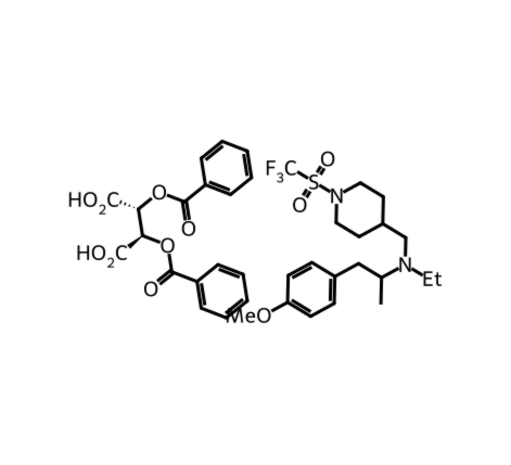 CCN(CC1CCN(S(=O)(=O)C(F)(F)F)CC1)C(C)Cc1ccc(OC)cc1.O=C(O[C@@H](C(=O)O)[C@@H](OC(=O)c1ccccc1)C(=O)O)c1ccccc1